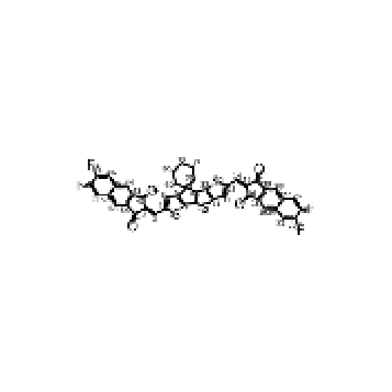 O=C1C(=Cc2cc3c(s2)-c2sc4cc(C=C5C(=O)c6cc7cc(F)c(F)cc7cc6C5=O)sc4c2C32CCCCC2)C(=O)c2cc3cc(F)c(F)cc3cc21